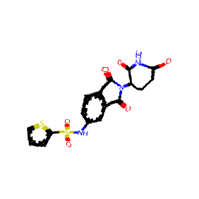 O=C1CCC(N2C(=O)c3ccc(NS(=O)(=O)c4cccs4)cc3C2=O)C(=O)N1